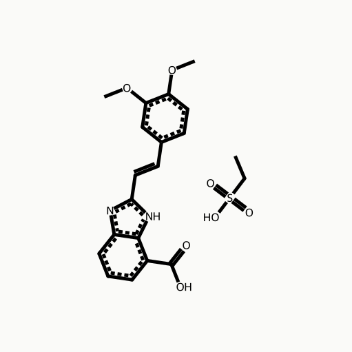 CCS(=O)(=O)O.COc1ccc(C=Cc2nc3cccc(C(=O)O)c3[nH]2)cc1OC